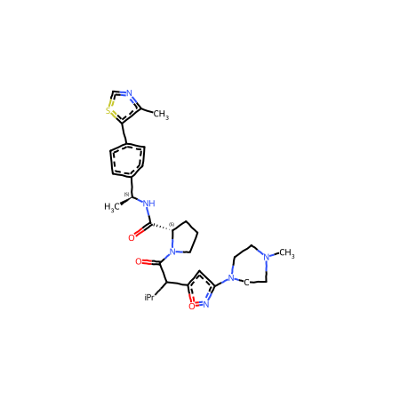 Cc1ncsc1-c1ccc([C@H](C)NC(=O)[C@@H]2CCCN2C(=O)C(c2cc(N3CCN(C)CC3)no2)C(C)C)cc1